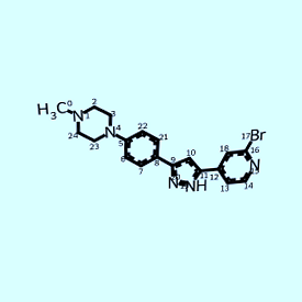 CN1CCN(c2ccc(-c3cc(-c4ccnc(Br)c4)[nH]n3)cc2)CC1